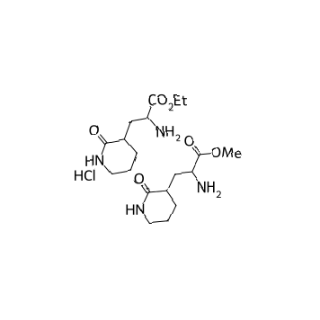 CCOC(=O)C(N)CC1CCCNC1=O.COC(=O)C(N)CC1CCCNC1=O.Cl